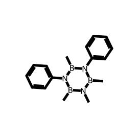 CB1N(C)B(C)N(c2ccccc2)B(C)N1c1ccccc1